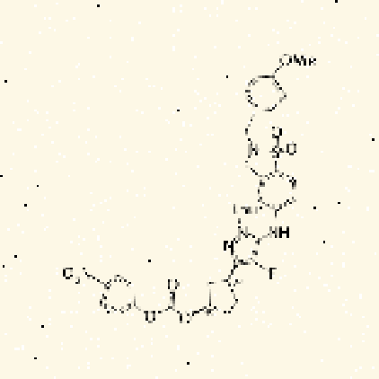 COc1ccc(CN2Cc3cc(Nc4c(F)c([C@H]5CC[C@@H](OC(=O)Oc6ccc([N+](=O)[O-])cc6)C5)nn4C(C)(C)C)ccc3S2(=O)=O)cc1